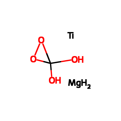 OC1(O)OO1.[MgH2].[Ti]